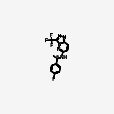 C[C@@H](Nc1ccc2nnc(C(F)(F)F)n2n1)c1ccc(F)cc1